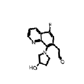 O=CCc1cc(F)c2cccnc2c1N1CC[C@@H](O)C1